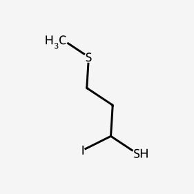 CSCCC(S)I